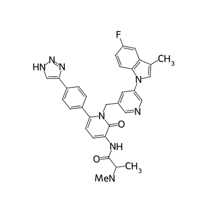 CNC(C)C(=O)Nc1ccc(-c2ccc(-c3c[nH]nn3)cc2)n(Cc2cncc(-n3cc(C)c4cc(F)ccc43)c2)c1=O